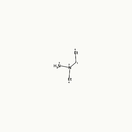 CCCN([SiH3])CC